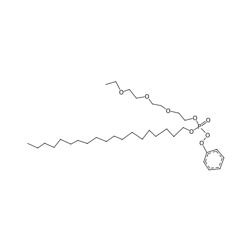 CCCCCCCCCCCCCCCCCCCOP(=O)(OCCOCCOCCOCC)OOc1ccccc1